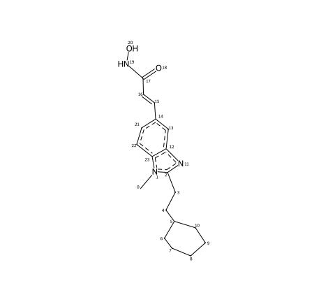 Cn1c(CCC2CCCCC2)nc2cc(/C=C/C(=O)NO)ccc21